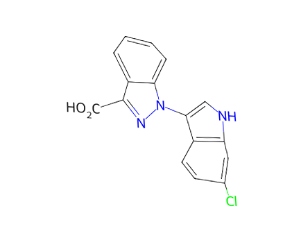 O=C(O)c1nn(-c2c[nH]c3cc(Cl)ccc23)c2ccccc12